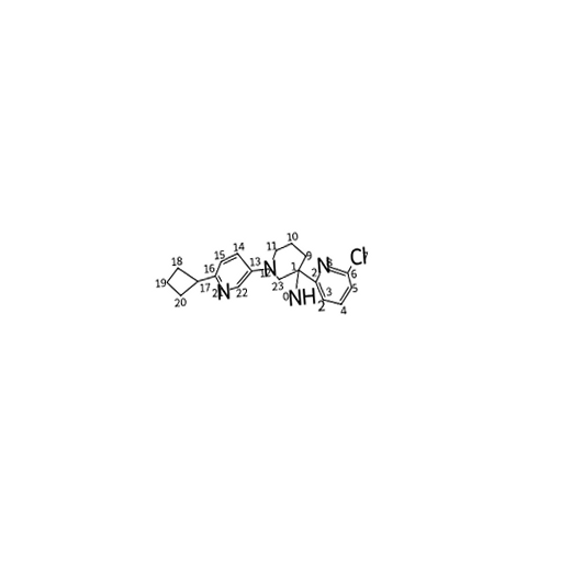 NC1(c2cccc(Cl)n2)CCCN(c2ccc(C3CCC3)nc2)C1